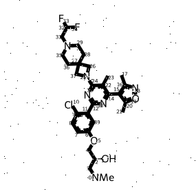 CNC[C@@H](O)COc1ccc(Cl)c(-c2nc(-c3c(C)noc3C)c(C)c(N3CC4(CCN(CC(F)F)CC4)C3)n2)c1